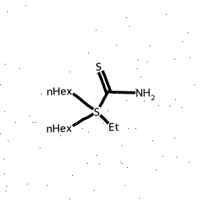 CCCCCCS(CC)(CCCCCC)C(N)=S